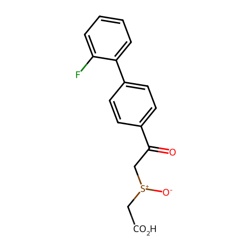 O=C(O)C[S+]([O-])CC(=O)c1ccc(-c2ccccc2F)cc1